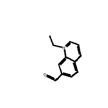 CC[n+]1cccc2ccc(C=O)cc21